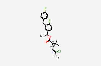 CC1(C)[C@H](C(=O)OC(C#N)c2ccc(F)c(Cc3ccc(F)cc3)c2)[C@@H]1/C=C(\Cl)C(F)(F)F